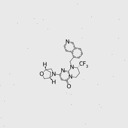 O=c1cc(N2C[C@@H]3C[C@H]2CO3)nc2n1CC[C@@H](C(F)(F)F)N2Cc1cccc2cnccc12